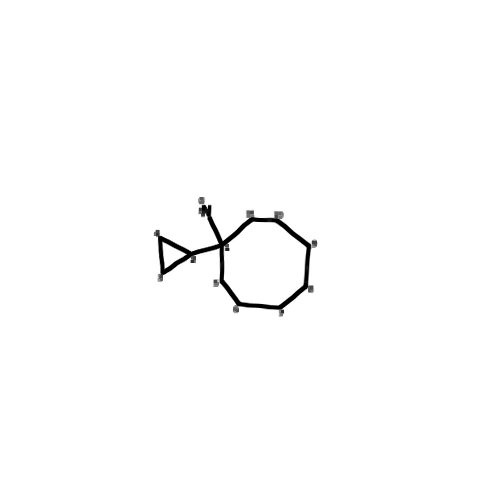 [N]C1(C2CC2)CCCCCCC1